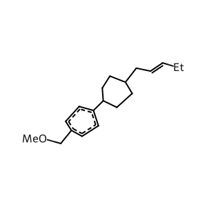 CCC=CCC1CCC(c2ccc(COC)cc2)CC1